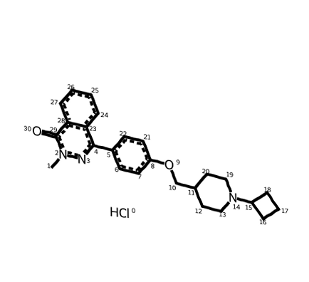 Cl.Cn1nc(-c2ccc(OCC3CCN(C4CCC4)CC3)cc2)c2ccccc2c1=O